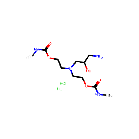 CCCCNC(=O)OCCN(CCOC(=O)NCCCC)CC(O)CN.Cl.Cl